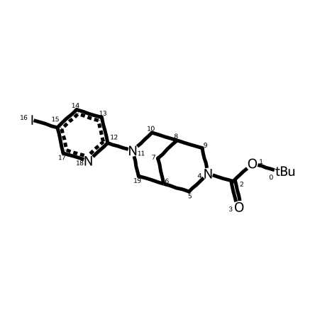 CC(C)(C)OC(=O)N1CC2CC(C1)CN(c1ccc(I)cn1)C2